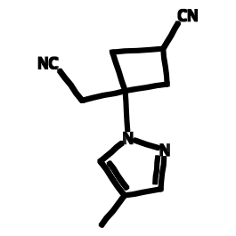 Cc1cnn(C2(CC#N)CC(C#N)C2)c1